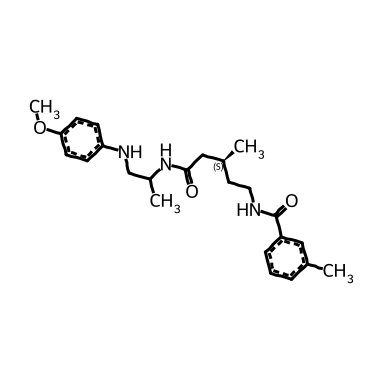 COc1ccc(NCC(C)NC(=O)C[C@@H](C)CCNC(=O)c2cccc(C)c2)cc1